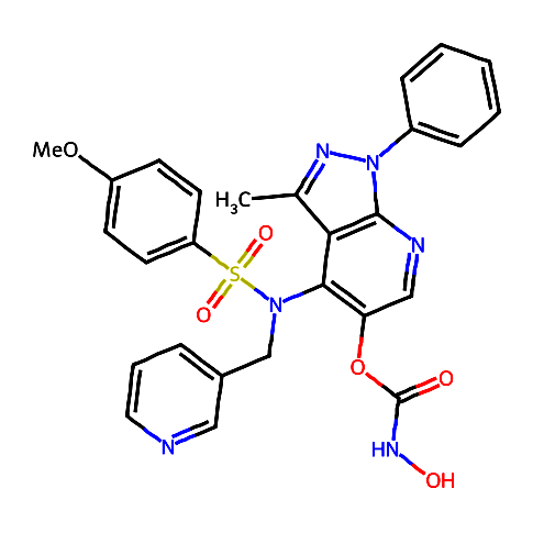 COc1ccc(S(=O)(=O)N(Cc2cccnc2)c2c(OC(=O)NO)cnc3c2c(C)nn3-c2ccccc2)cc1